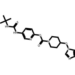 CC(C)(C)NC(=S)Nc1ccc(OC(=O)N2CCC(On3ccnc3)CC2)nc1